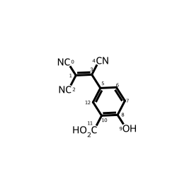 N#CC(C#N)=C(C#N)c1ccc(O)c(C(=O)O)c1